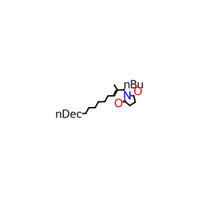 CCCCCCCCCCCCCCCCC=C(C)C(CCCC)N1C(=O)CCC1=O